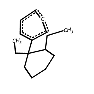 CCC1CCCCC1(CC)c1ccccc1